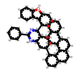 c1ccc(-c2nc(-c3cccc4oc5ccccc5c34)c3ccc(-c4cccc5ccc6ccc7c8ccccc8ccc7c6c45)cc3n2)cc1